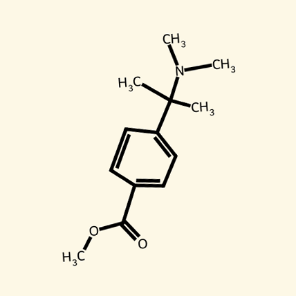 COC(=O)c1ccc(C(C)(C)N(C)C)cc1